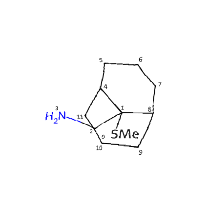 CSC1(CN)C2CCCC1CCC2